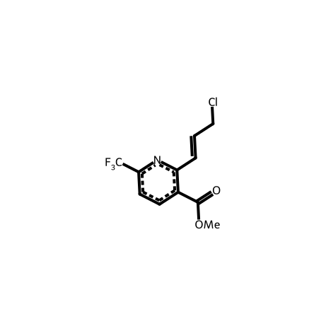 COC(=O)c1ccc(C(F)(F)F)nc1/C=C/CCl